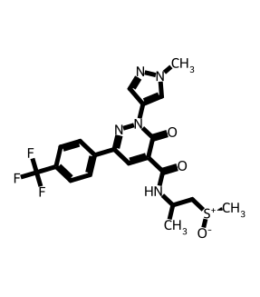 CC(C[S@+](C)[O-])NC(=O)c1cc(-c2ccc(C(F)(F)F)cc2)nn(-c2cnn(C)c2)c1=O